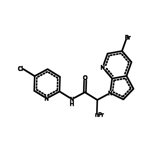 CCCC(C(=O)Nc1ccc(Cl)cn1)n1ccc2cc(Br)cnc21